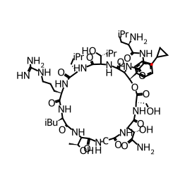 CC[C@H](C)C1NC(=O)[C@@H](CCCNC(=N)N)NC(=O)[C@H](CC(C)C)NC(=O)C([C@H](O)C(C)C)NC(=O)[C@@H](NC(=O)[C@H](CC2CC2)NC(=O)[C@H](N)CC(C)C)[C@@H](c2ccccc2)OC(=O)[C@H](CO)NC(=O)C([C@H](O)C(N)=O)NC(=O)CNC(=O)C([C@H](C)O)NC1=O